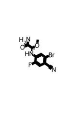 CO[C@@H](Nc1cc(Br)c(C#N)cc1F)C(N)=O